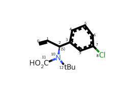 C=C[C@@H](c1cccc(Cl)c1)N(C(=O)O)C(C)(C)C